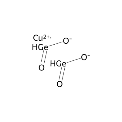 [Cu+2].[O]=[GeH][O-].[O]=[GeH][O-]